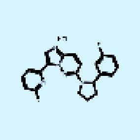 Cl.Fc1cccc(C2CCCN2c2ccc3ncc(-c4cccc(F)n4)n3n2)c1